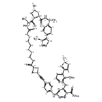 CNC(=O)c1nnc(Nc2ccc(C#CC3CN(C(=O)CCCCCCCCC(=O)NC(C(=O)N4C[C@H](O)C[C@H]4C(=O)NC(C)c4ccc(-c5scnc5C)cc4)C(C)(C)C)C3)cn2)cc1Nc1cccc(-c2ncn(C)n2)c1OC